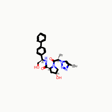 CC(C)[C@@H](C(=O)N1C[C@H](O)C[C@H]1C(=O)N[C@@H](CO)c1ccc(-c2ccccc2)cc1)n1cc(C(C)(C)C)nn1